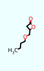 CCCCOCC1CC(=O)O1